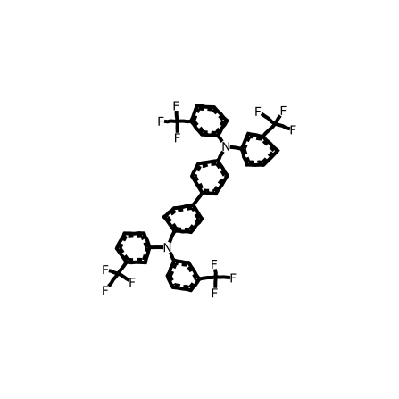 FC(F)(F)c1cccc(N(c2ccc(-c3ccc(N(c4cccc(C(F)(F)F)c4)c4cccc(C(F)(F)F)c4)cc3)cc2)c2cccc(C(F)(F)F)c2)c1